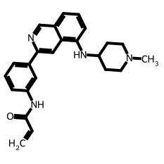 C=CC(=O)Nc1cccc(-c2cc3c(NC4CCN(C)CC4)cccc3cn2)c1